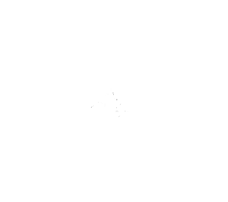 CC1CC[C@@]2(C)C(CC[C@@H]3[C@H]2CC[C@]2(C)C(O)C(C)(C)C[C@@H]32)C1